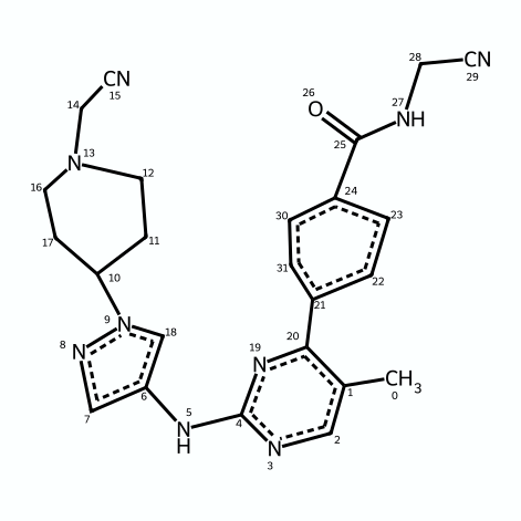 Cc1cnc(Nc2cnn(C3CCN(CC#N)CC3)c2)nc1-c1ccc(C(=O)NCC#N)cc1